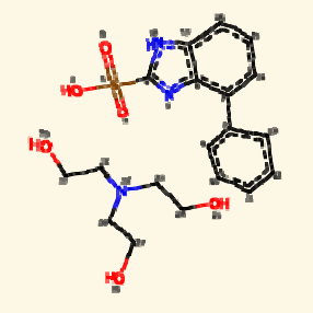 O=S(=O)(O)c1nc2c(-c3ccccc3)cccc2[nH]1.OCCN(CCO)CCO